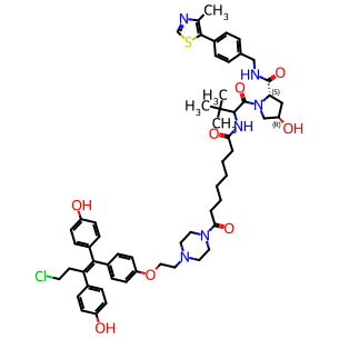 Cc1ncsc1-c1ccc(CNC(=O)[C@@H]2C[C@@H](O)CN2C(=O)C(NC(=O)CCCCCCC(=O)N2CCN(CCOc3ccc(C(=C(CCCl)c4ccc(O)cc4)c4ccc(O)cc4)cc3)CC2)C(C)(C)C)cc1